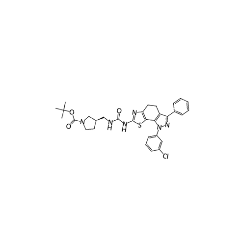 CC(C)(C)OC(=O)N1CC[C@H](CNC(=O)Nc2nc3c(s2)-c2c(c(-c4ccccc4)nn2-c2cccc(Cl)c2)CC3)C1